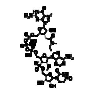 CCN(C)C(=O)C[C@@H]1[C@@H](COP(=O)(O)OP(=O)(O)OP(=O)(O)OC[C@H]2O[C@@H](n3cnc4c(N)ncnc43)[C@H](OC)[C@@H]2P(=O)([O-])OC[C@H]2O[C@@H](n3ccc(=O)[nH]c3=O)[C@H](O)[C@@H]2O)OC(n2c[n+](C)c3c(=O)[nH]c(N)nc32)[C@@H]1O